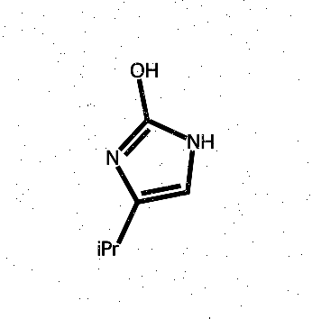 CC(C)c1c[nH]c(O)n1